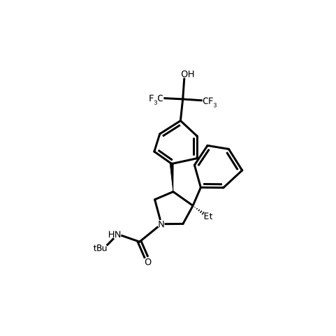 CC[C@]1(c2ccccc2)CN(C(=O)NC(C)(C)C)C[C@H]1c1ccc(C(O)(C(F)(F)F)C(F)(F)F)cc1